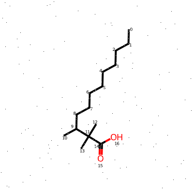 CCCCCCCCCC(C)C(C)(C)C(=O)O